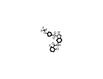 O=C(Nc1ccc2c(c1)N(S(=O)(=O)c1ccc(OC(F)(F)F)cc1)NC2)c1c(F)cccc1Cl